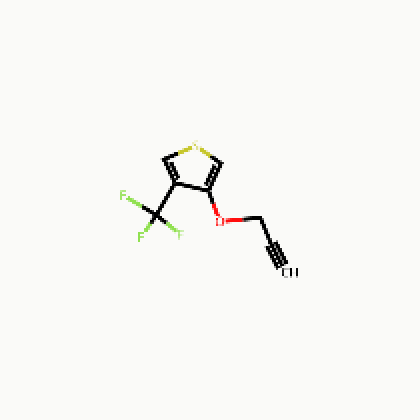 C#CCOc1cs[c]c1C(F)(F)F